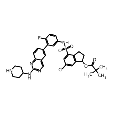 CC(C)(C)C(=O)O[C@@H]1CCc2c1cc(Cl)cc2S(=O)(=O)Nc1ccc(F)c(-c2ccc3nc(NC4CCNCC4)ncc3c2)c1